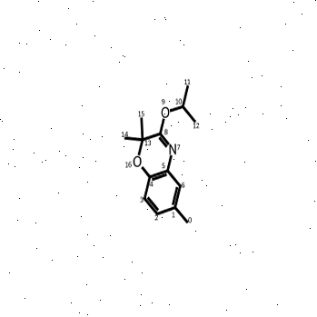 Cc1ccc2c(c1)N=C(OC(C)C)C(C)(C)O2